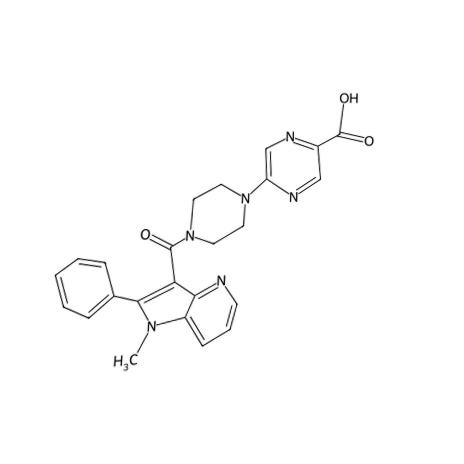 Cn1c(-c2ccccc2)c(C(=O)N2CCN(c3cnc(C(=O)O)cn3)CC2)c2ncccc21